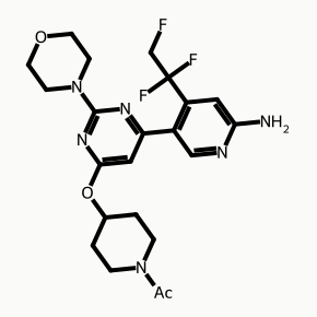 CC(=O)N1CCC(Oc2cc(-c3cnc(N)cc3C(F)(F)CF)nc(N3CCOCC3)n2)CC1